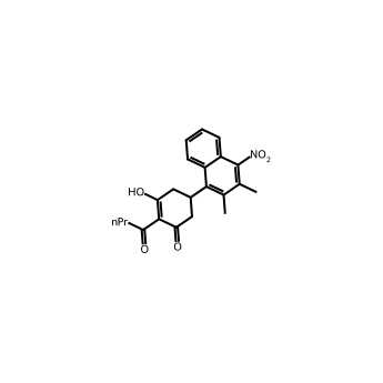 CCCC(=O)C1=C(O)CC(c2c(C)c(C)c([N+](=O)[O-])c3ccccc23)CC1=O